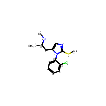 CCCSc1ncc(C[C@H](NCC)C(=O)OCC)n1-c1ccccc1Cl